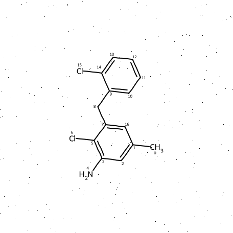 Cc1cc(N)c(Cl)c(Cc2ccccc2Cl)c1